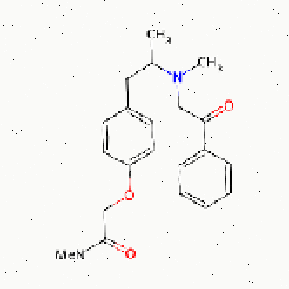 CNC(=O)COc1ccc(CC(C)N(C)CC(=O)c2ccccc2)cc1